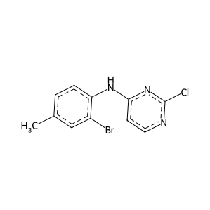 Cc1ccc(Nc2ccnc(Cl)n2)c(Br)c1